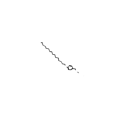 CCCCCCCCCCCCCCCCOc1ccc(C(=O)OCC)cc1